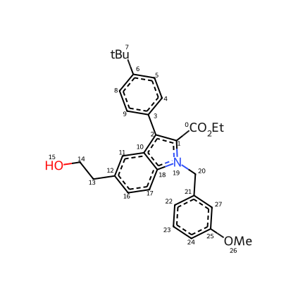 CCOC(=O)c1c(-c2ccc(C(C)(C)C)cc2)c2cc(CCO)ccc2n1Cc1cccc(OC)c1